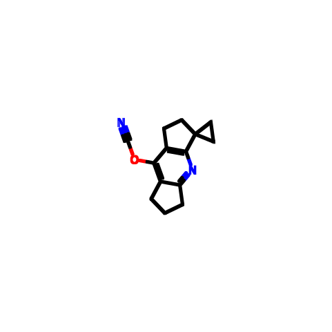 N#COc1c2c(nc3c1CCC31CC1)CCC2